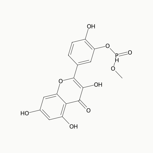 CO[PH](=O)Oc1cc(-c2oc3cc(O)cc(O)c3c(=O)c2O)ccc1O